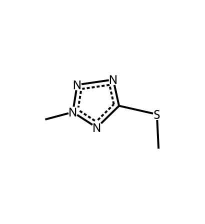 CSc1nnn(C)n1